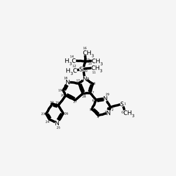 CSc1nccc(-c2cn([Si](C)(C)C(C)(C)C)c3ncc(-c4cccnc4)cc23)n1